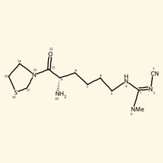 CN/C(=N/C#N)NCCCC[C@H](N)C(=O)N1CCSC1